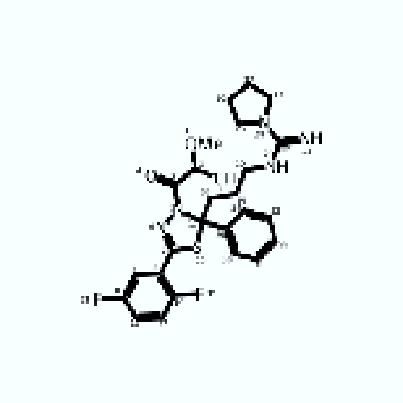 CO[C@@H](C)C(=O)N1N=C(c2cc(F)ccc2F)SC1(CCCNC(=N)N1CCCC1)c1ccccc1